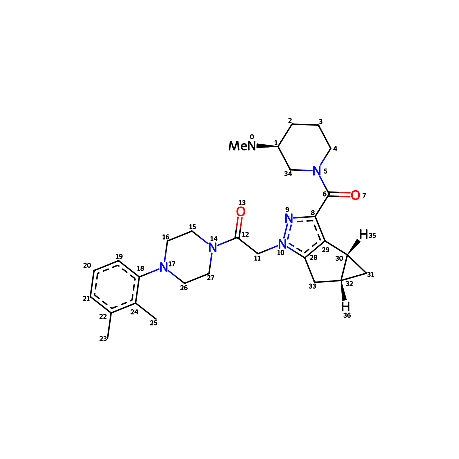 CN[C@H]1CCCN(C(=O)c2nn(CC(=O)N3CCN(c4cccc(C)c4C)CC3)c3c2[C@@H]2C[C@@H]2C3)C1